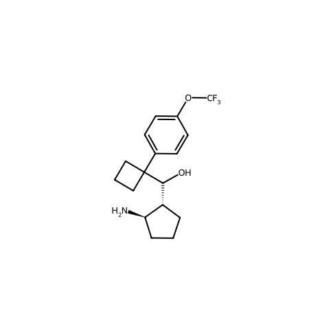 N[C@@H]1CCC[C@H]1C(O)C1(c2ccc(OC(F)(F)F)cc2)CCC1